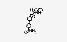 CC1(NC(=O)c2cc3ccc(-c4ccc(C5(N)COC5)cc4)cc3o2)CCCCC1